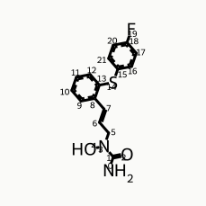 NC(=O)N(O)CC=Cc1ccccc1Sc1ccc(F)cc1